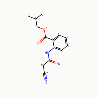 CC(C)COC(=O)c1ccccc1NC(=O)CC#N